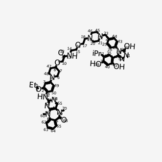 CCOc1cc(N2CCC(OCC(=O)NCCOCCN3CCN(Cc4ccc(-n5c(O)nnc5-c5cc(C(C)C)c(O)cc5O)cc4)CC3)CC2)ccc1Nc1ncc2c(n1)N(C)c1ccccc1C(=O)N2C